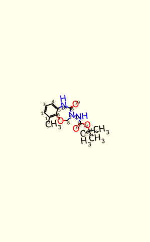 Cc1cccc2c1OCN(NC(=O)OC(C)(C)C)C(=O)N2